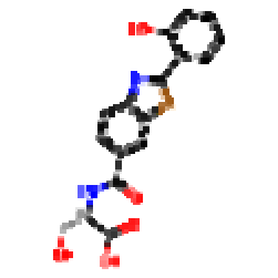 O=C(N[C@@H](CO)C(=O)O)c1ccc2nc(-c3ccccc3O)sc2c1